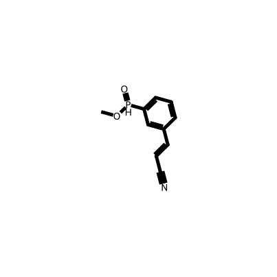 CO[PH](=O)c1cccc(/C=C/C#N)c1